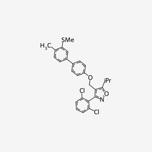 CSc1cc(-c2ccc(OCc3c(-c4c(Cl)cccc4Cl)noc3C(C)C)cc2)ccc1C